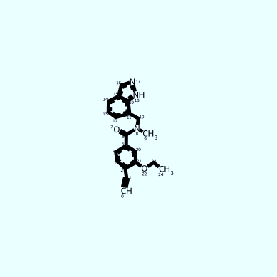 C#Cc1ccc(C(=O)N(C)Cc2cccc3cn[nH]c23)cc1OCC